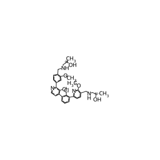 COc1cc(-c2nccc(-c3cccc(-c4ccc(CNC[C@H](C)O)c(OC)n4)c3Cl)c2Cl)ccc1CNC[C@@H](C)O